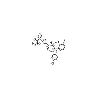 NC(=O)C1(S(=O)(=O)CC[C@@H]2OCC[C@@]3(Cc4ccc(Cl)cc4)c4c(F)ccc(F)c4OC[C@@H]23)CCC1